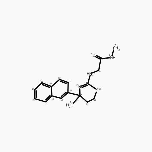 CNC(=O)CNC1=NC(C)(c2ccc3ccccc3c2)CCS1